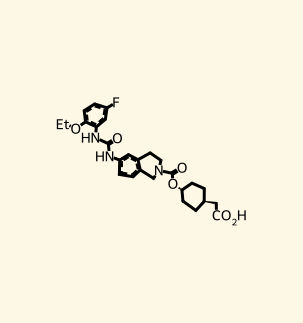 CCOc1ccc(F)cc1NC(=O)Nc1ccc2c(c1)CCN(C(=O)O[C@H]1CC[C@H](CC(=O)O)CC1)C2